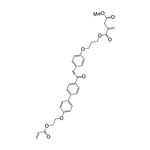 C=CC(=O)OCCOc1ccc(-c2ccc(C(=O)Sc3ccc(OCCCOC(=O)C(=C)CC(=O)OC)cc3)cc2)cc1